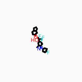 OC(COc1ccc2c(c1)CCC2)(c1ccc2c(cnn2-c2ccc(F)cc2)c1)C(F)(F)F